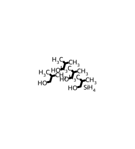 CC(C)CO.CC(C)CO.CC(C)CO.CC(C)CO.[SiH4]